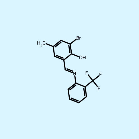 Cc1cc(Br)c(O)c(/C=N/c2ccccc2C(F)(F)F)c1